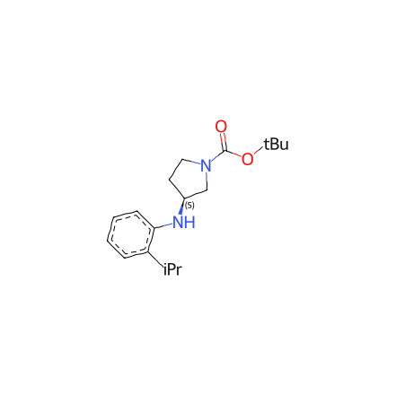 CC(C)c1ccccc1N[C@H]1CCN(C(=O)OC(C)(C)C)C1